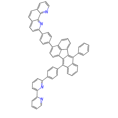 c1ccc(-c2c3c(c(-c4ccc(-c5cccc(-c6ccccn6)n5)cc4)c4ccccc24)-c2ccc(-c4ccc(-c5ccc6ccc7cccnc7c6n5)cc4)c4cccc-3c24)cc1